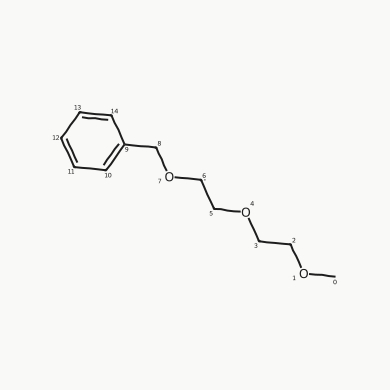 COCCOC[CH]OCc1ccccc1